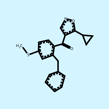 CSc1ccc(C(=O)c2cnoc2C2CC2)c(Cc2ccccc2)c1